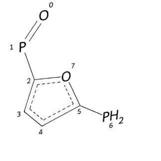 O=Pc1ccc(P)o1